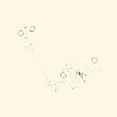 CC[C@H](C)[C@@H]([C@@H](CC(=O)N1CCC[C@H]1[C@H](OC)[C@@H](C)C(=O)N[C@H](C)[C@@H](O)c1ccccc1)OC)N(C)C(=O)C(NC(=O)[C@H](C(C)C)N(C)C(=O)OCc1ccc(NC(=O)C(CCCNC(N)=O)NC(=O)[C@@H](NC(=O)CCOCCOCCOCCOCCNC(=O)CCC(=O)N2Cc3ccccc3C3=C(CC3)c3ccccc32)C(C)C)cc1)C(C)C